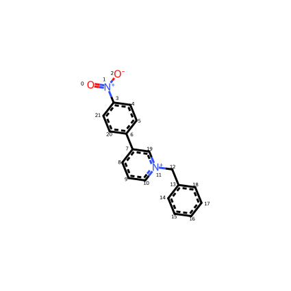 O=[N+]([O-])c1ccc(-c2ccc[n+](Cc3ccccc3)c2)cc1